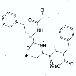 COC(=O)C(Cc1ccccc1)NC(=O)C(CC(C)C)NC(=O)[C@H](CCc1ccccc1)NC(=O)CCl